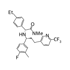 CCc1ccc([C@@H](N[C@@H](CCc2ccc(C(F)(F)F)nc2)c2ccc(F)c(C)c2)C(=O)NC)cc1